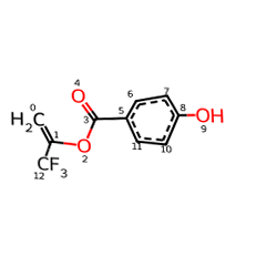 C=C(OC(=O)c1ccc(O)cc1)C(F)(F)F